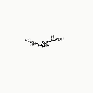 OCCNCSC1=CNN(SCNCCO)S1